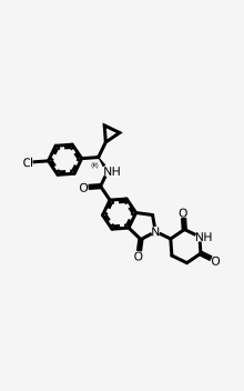 O=C1CCC(N2Cc3cc(C(=O)N[C@@H](c4ccc(Cl)cc4)C4CC4)ccc3C2=O)C(=O)N1